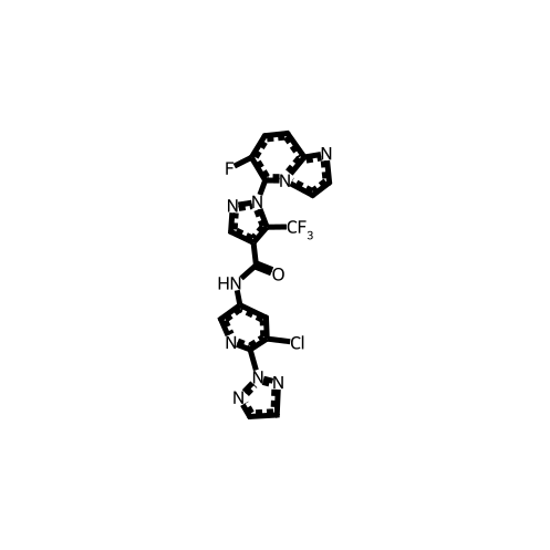 O=C(Nc1cnc(-n2nccn2)c(Cl)c1)c1cnn(-c2c(F)ccc3nccn23)c1C(F)(F)F